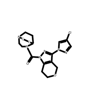 O=C(N1CCN2CCC1CC2)n1nc(-n2cc(Cl)cn2)c2c1CCOC2